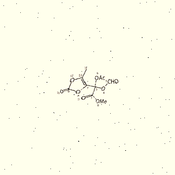 COC(=O)C(O[C]=O)(OC(C)=O)c1oc(=O)oc1C